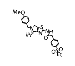 CCS(=O)(=O)c1ccc(CC(=O)Nc2nc3c(s2)CN(Cc2ccc(OC)cc2)[C@@H]3C(C)C)cc1